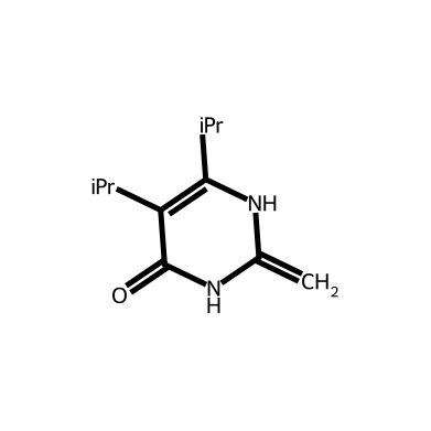 C=C1NC(=O)C(C(C)C)=C(C(C)C)N1